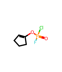 O=P(F)(Cl)OC1=CCCC1